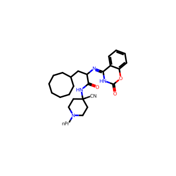 CCCN1CCC(C#N)(NC(=O)C(CC2CCCCCCC2)/N=c2\[nH]c(=O)oc3ccccc23)CC1